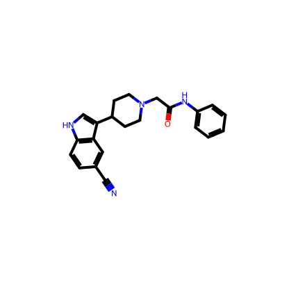 N#Cc1ccc2[nH]cc(C3CCN(CC(=O)Nc4ccccc4)CC3)c2c1